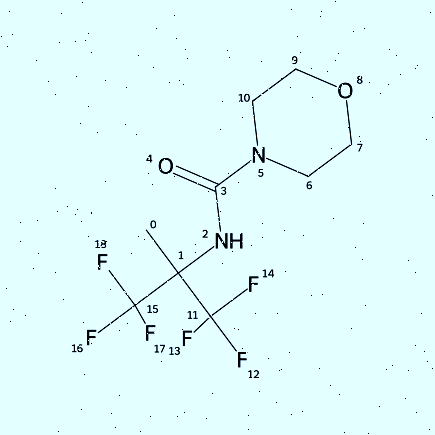 CC(NC(=O)N1CCOCC1)(C(F)(F)F)C(F)(F)F